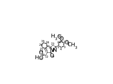 COc1ccc(C2=NN(C(=O)CCC(=O)O)C(c3ccccc3)C2)cc1OC